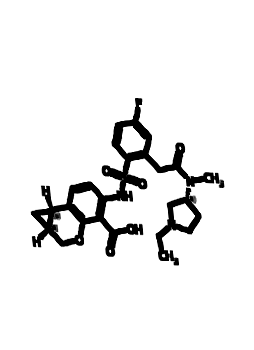 CCN1CC[C@@H](N(C)C(=O)Cc2cc(F)ccc2S(=O)(=O)Nc2ccc3c(c2C(=O)O)OC[C@@H]2C[C@H]32)C1